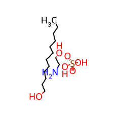 CCCCCCCCCCCCO.NCCO.O=S(=O)(O)O